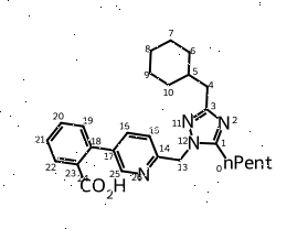 CCCCCc1nc(CC2CCCCC2)nn1Cc1ccc(-c2ccccc2C(=O)O)cn1